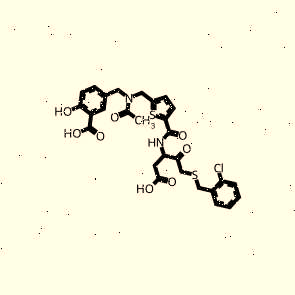 CC(=O)N(Cc1ccc(O)c(C(=O)O)c1)Cc1ccc(C(=O)NC(CC(=O)O)C(=O)CSCc2ccccc2Cl)s1